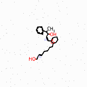 CC(c1ccccc1)C(O)/C=C\C1C2CCC(O2)C1CCCC/C=C/CO